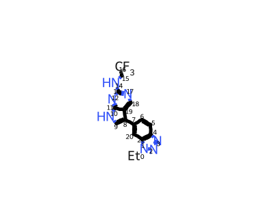 CCn1nnc2ccc(-c3c[nH]c4nc(NCC(F)(F)F)ncc34)cc21